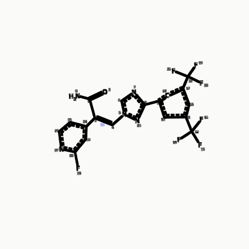 NC(=O)/C(=C\n1cnc(-c2cc(C(F)(F)F)cc(C(F)(F)F)c2)n1)c1ccnc(F)c1